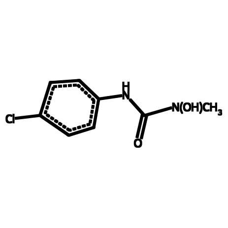 CN(O)C(=O)Nc1ccc(Cl)cc1